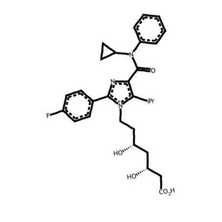 CC(C)c1c(C(=O)N(c2ccccc2)C2CC2)nc(-c2ccc(F)cc2)n1CC[C@@H](O)C[C@@H](O)CC(=O)O